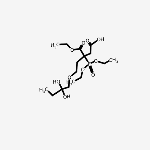 CCOC(=O)C(CCOCC(O)(O)CC)(CC(=O)O)P(=O)(OCC)OCC